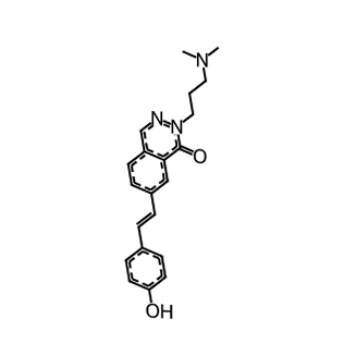 CN(C)CCCn1ncc2ccc(/C=C/c3ccc(O)cc3)cc2c1=O